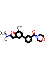 CN(C(=O)O)c1cc2cc(-c3cccc(C(=O)N4CCOCC4)c3)cc(C(F)(F)F)c2o1